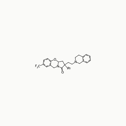 CC(C)C1(CCN2CCc3ccccc3C2)CC2Oc3ccc(C(F)(F)F)cc3CN2C1=O